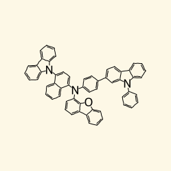 c1ccc(-n2c3ccccc3c3ccc(-c4ccc(N(c5ccc(-n6c7ccccc7c7ccccc76)c6ccccc56)c5cccc6c5oc5ccccc56)cc4)cc32)cc1